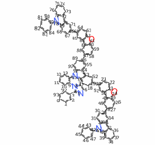 c1ccc(-c2nccn2-c2ccccc2-n2c3ccc(-c4ccc5oc6ccc(-c7ccc8c(c7)c7ccccc7n8-c7ccccc7)cc6c5c4)cc3c3cc(-c4ccc5oc6ccc(-c7ccc8c(c7)c7ccccc7n8-c7ccccc7)cc6c5c4)ccc32)cc1